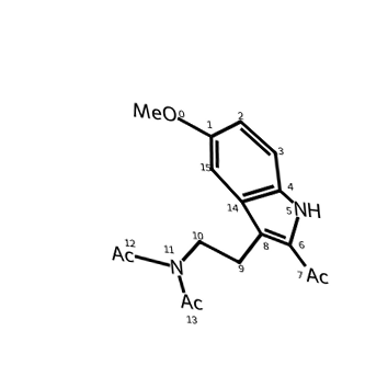 COc1ccc2[nH]c(C(C)=O)c(CCN(C(C)=O)C(C)=O)c2c1